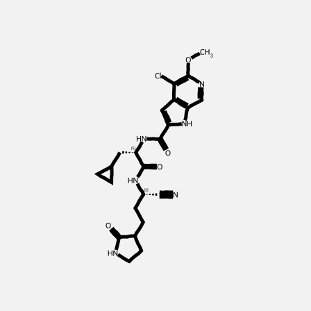 COc1ncc2[nH]c(C(=O)N[C@@H](CC3CC3)C(=O)N[C@H](C#N)CCC3CCNC3=O)cc2c1Cl